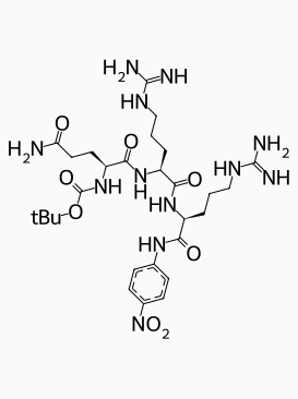 CC(C)(C)OC(=O)N[C@@H](CCC(N)=O)C(=O)N[C@@H](CCCNC(=N)N)C(=O)N[C@@H](CCCNC(=N)N)C(=O)Nc1ccc([N+](=O)[O-])cc1